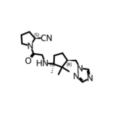 CC1(C)[C@H](Cn2cncn2)CC[C@]1(C)NCC(=O)N1CCC[C@H]1C#N